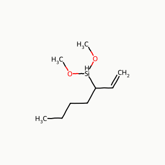 C=CC(CCCC)[SiH](OC)OC